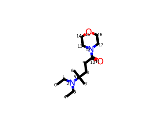 CCN(CC)C(C)(C)CCC(=O)N1CCOCC1